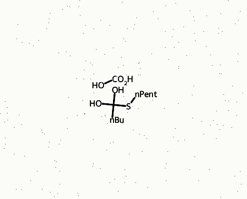 CCCCCSC(O)(O)CCCC.O=C(O)O